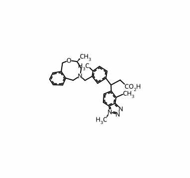 Cc1ccc(C(CC(=O)O)c2ccc3c(nnn3C)c2C)cc1CN1Cc2ccccc2CO[C@@H](C)C1